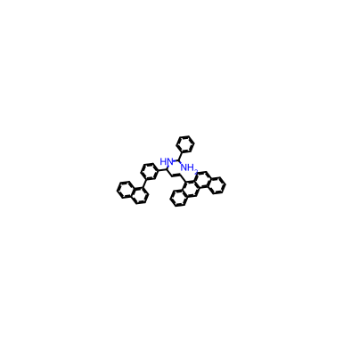 NC(NC(/C=C/c1c2ccccc2cc2c1ccc1ccccc12)c1cccc(-c2cccc3ccccc23)c1)c1ccccc1